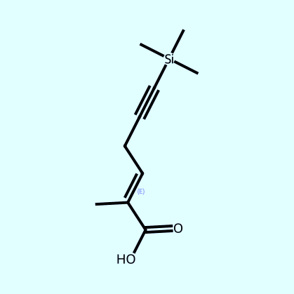 C/C(=C\CC#C[Si](C)(C)C)C(=O)O